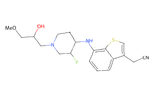 COCC(O)CN1CCC(Nc2cccc3c(CC#N)csc23)C(F)C1